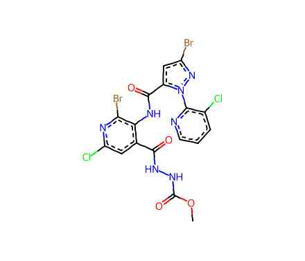 COC(=O)NNC(=O)c1cc(Cl)nc(Br)c1NC(=O)c1cc(Br)nn1-c1ncccc1Cl